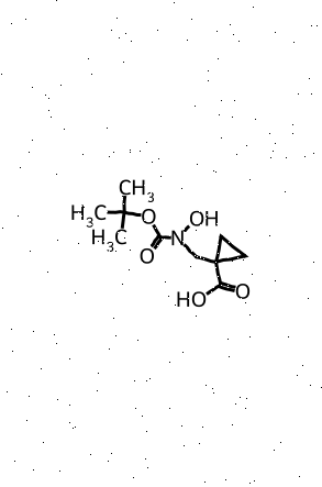 CC(C)(C)OC(=O)N(O)CC1(C(=O)O)CC1